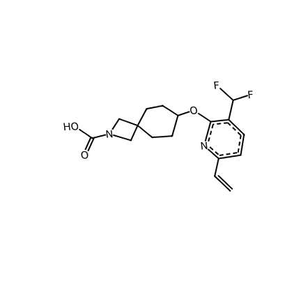 C=Cc1ccc(C(F)F)c(OC2CCC3(CC2)CN(C(=O)O)C3)n1